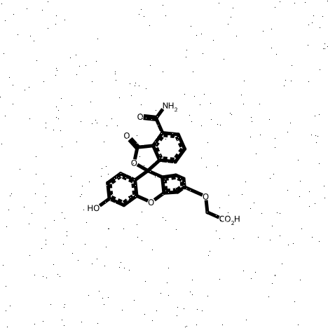 NC(=O)c1cccc2c1C(=O)OC21c2ccc(O)cc2Oc2cc(OCC(=O)O)ccc21